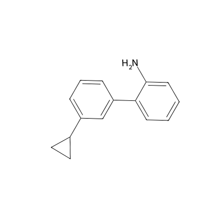 Nc1ccccc1-c1cccc(C2CC2)c1